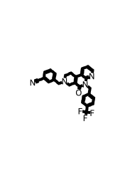 N#Cc1cccc(CN2CCc3c(c(=O)n(Cc4ccc(C(F)(F)F)cc4)c4ncccc34)C2)c1